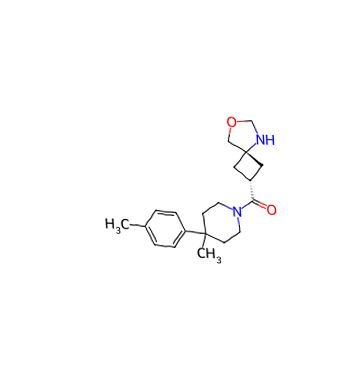 Cc1ccc(C2(C)CCN(C(=O)[C@H]3C[C@]4(COCN4)C3)CC2)cc1